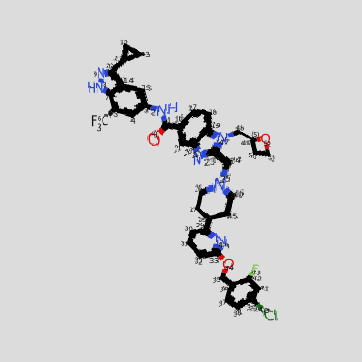 O=C(Nc1cc(C(F)(F)F)c2[nH]nc(C3CC3)c2c1)c1ccc2c(c1)nc(CN1CCC(c3cccc(OCc4ccc(Cl)cc4F)n3)CC1)n2C[C@@H]1CCO1